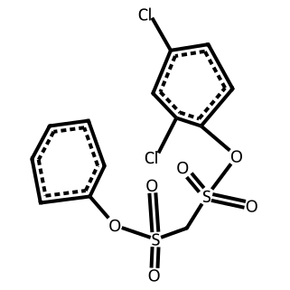 O=S(=O)(CS(=O)(=O)Oc1ccc(Cl)cc1Cl)Oc1ccccc1